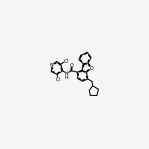 O=C(Nc1c(Cl)cncc1Cl)c1ccc(CC2CCCC2)c2oc3ccccc3c12